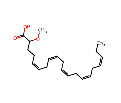 CC/C=C\C/C=C\C/C=C\C/C=C\C/C=C\CCC(OC)C(=O)O